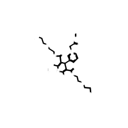 Br.CCCOCCOC(=O)C1=C(C)NC(C)=C(C(=O)OCCOCCC)C1c1ccc[n+](CC(=O)OCC)c1.[Br-]